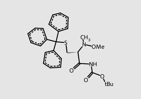 CON(C)[C@@H](CSC(c1ccccc1)(c1ccccc1)c1ccccc1)C(=O)NC(=O)OC(C)(C)C